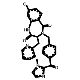 Cn1ccnc1C(=O)c1ccc(CN2C(=O)c3ccc(Cl)cc3NC(=O)C2Cc2ccccn2)cc1